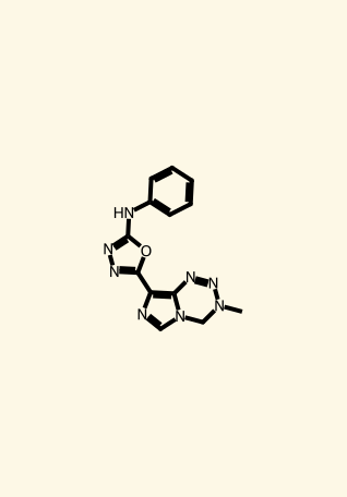 CN1Cn2cnc(-c3nnc(Nc4ccccc4)o3)c2N=N1